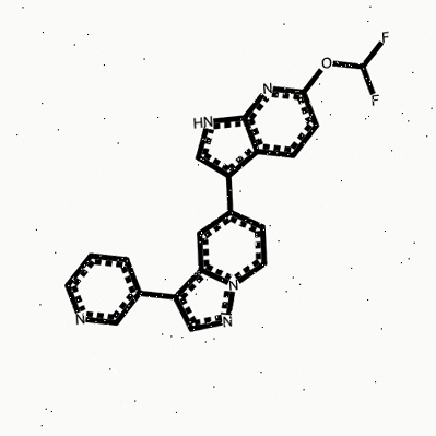 FC(F)Oc1ccc2c(-c3ccn4ncc(-c5cccnc5)c4c3)c[nH]c2n1